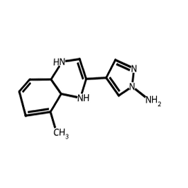 CC1=CC=CC2NC=C(c3cnn(N)c3)NC12